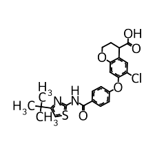 CC(C)(C)c1csc(NC(=O)c2ccc(Oc3cc4c(cc3Cl)C(C(=O)O)CCO4)cc2)n1